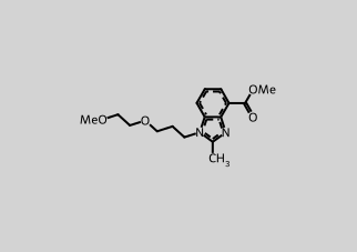 COCCOCCCn1c(C)nc2c(C(=O)OC)cccc21